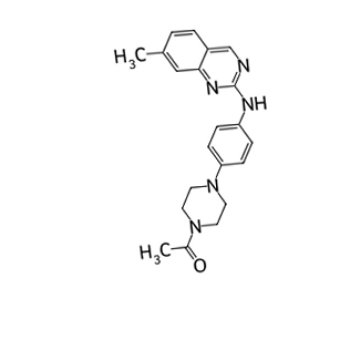 CC(=O)N1CCN(c2ccc(Nc3ncc4ccc(C)cc4n3)cc2)CC1